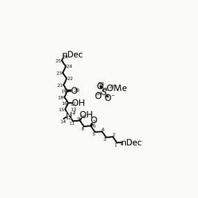 CCCCCCCCCCCCCCCC(=O)CC(O)C[N+](C)(C)CC(O)CC(=O)CCCCCCCCCCCCCCC.COS(=O)(=O)[O-]